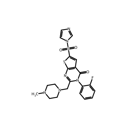 CN1CCN(Cc2nc3sc(S(=O)(=O)n4ccnc4)cc3c(=O)n2-c2ccccc2F)CC1